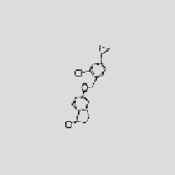 O=C1CCc2cc(OCc3ccc(C4CC4)cc3Cl)ccc21